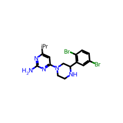 CC(C)c1cc(N2CCNC(c3cc(Br)ccc3Br)C2)nc(N)n1